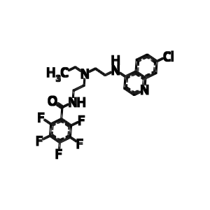 CCN(CCNC(=O)c1c(F)c(F)c(F)c(F)c1F)CCNc1ccnc2cc(Cl)ccc12